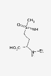 CCNC(CCS(C)(=N)=O)C(=O)O